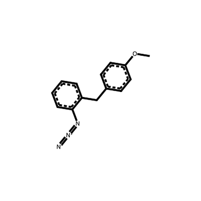 COc1ccc(Cc2ccccc2N=[N+]=[N-])cc1